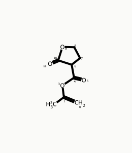 C=C(C)OC(=O)C1CCOC1=O